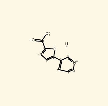 O=C([O-])c1ncc(-c2cccnc2)o1.[Li+]